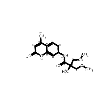 COCC(C)(COC)C(=O)NC1C=c2oc(=O)cc(C)c2=CC1